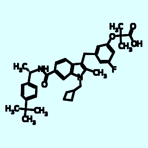 Cc1c(Cc2cc(F)cc(OC(C)(C)C(=O)O)c2)c2ccc(C(=O)N[C@@H](C)c3ccc(C(C)(C)C)cc3)cc2n1CC1CCC1